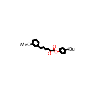 CCC(C)c1ccc(OC(=O)C(=O)/C=C/C=C/c2cccc(OC)c2)cc1